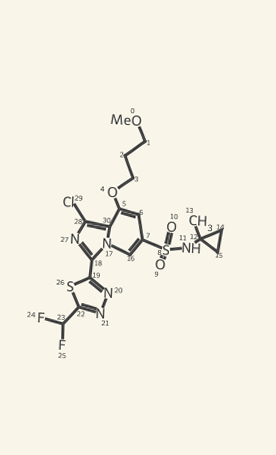 COCCCOc1cc(S(=O)(=O)NC2(C)CC2)cn2c(-c3nnc(C(F)F)s3)nc(Cl)c12